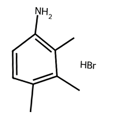 Br.Cc1ccc(N)c(C)c1C